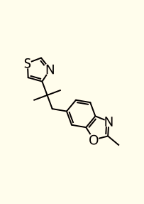 Cc1nc2ccc(CC(C)(C)c3cscn3)cc2o1